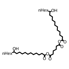 CCCCCCC(O)CCCCCCCCCCC(=O)OC(=O)CCCCC(=O)OC(=O)CCCCCCCCCCC(O)CCCCCC